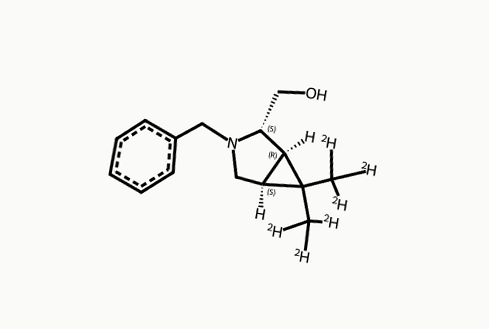 [2H]C([2H])([2H])C1(C([2H])([2H])[2H])[C@@H]2[C@@H](CO)N(Cc3ccccc3)C[C@@H]21